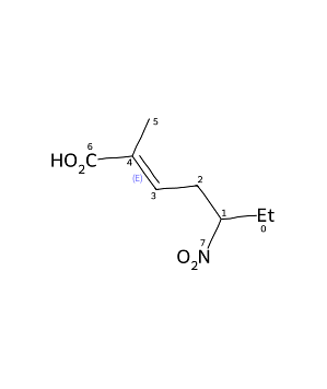 CCC(C/C=C(\C)C(=O)O)[N+](=O)[O-]